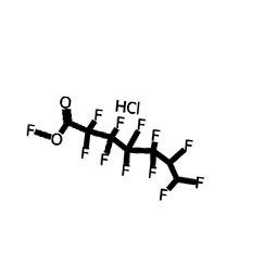 Cl.O=C(OF)C(F)(F)C(F)(F)C(F)(F)C(F)(F)C(F)C(F)F